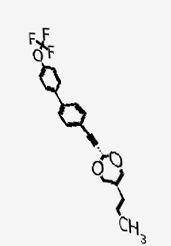 CCC[C@H]1CO[C@H](C#Cc2ccc(-c3ccc(OC(F)(F)F)cc3)cc2)OC1